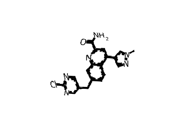 Cn1cc(-c2cc(C(N)=O)nc3cc(Cc4cnc(Cl)nc4)ccc23)cn1